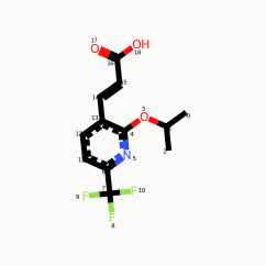 CC(C)Oc1nc(C(F)(F)F)ccc1/C=C/C(=O)O